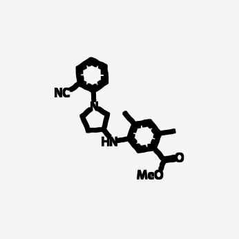 COC(=O)c1cc(NC2CCN(c3ccccc3C#N)C2)c(C)cc1C